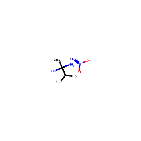 CCCCC(CCCC)C(N)(N)CCCC.N=[N+](O)O